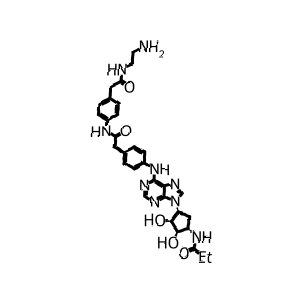 CCC(=O)N[C@H]1C[C@@H](n2cnc3c(Nc4ccc(CC(=O)Nc5ccc(CC(=O)NCCN)cc5)cc4)ncnc32)[C@H](O)[C@@H]1O